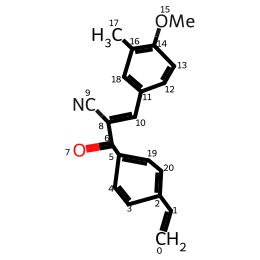 C=Cc1ccc(C(=O)C(C#N)=Cc2ccc(OC)c(C)c2)cc1